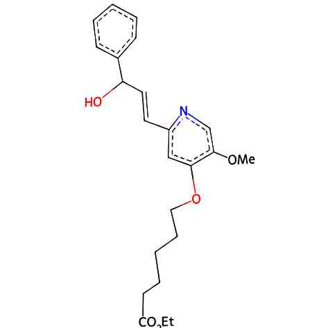 CCOC(=O)CCCCCOc1cc(C=CC(O)c2ccccc2)ncc1OC